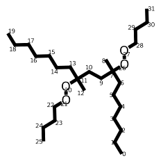 CCCCCCCC(C)(CCC(C)(CCCCCCC)OOCCCC)OOCCCC